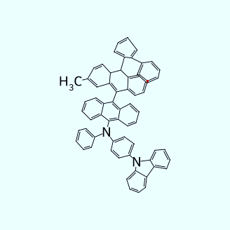 CC1=CC2=C(c3c4ccccc4c(N(c4ccccc4)c4ccc(-n5c6ccccc6c6ccccc65)cc4)c4ccccc34)c3ccccc3C(c3ccccc3-c3ccccc3)C2C=C1